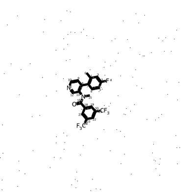 Cc1cc(F)ccc1-c1ccncc1N(C)C(=O)c1cc(C(F)(F)F)cc(C(F)(F)F)c1